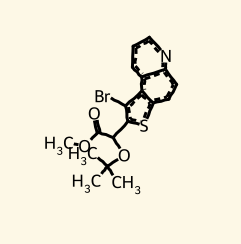 COC(=O)C(OC(C)(C)C)c1sc2ccc3ncccc3c2c1Br